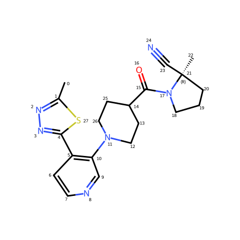 Cc1nnc(-c2ccncc2N2CCC(C(=O)N3CCC[C@]3(C)C#N)CC2)s1